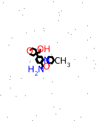 CC1CCN(c2cc(C3(CO)CCOCC3)ccc2C(N)=O)CC1